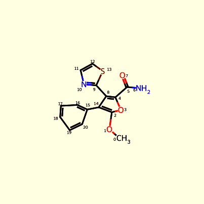 COc1oc(C(N)=O)c(-c2nccs2)c1-c1ccccc1